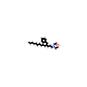 CCCCCCCCCCC(CCCN1CCOCC1)Cc1ccccc1